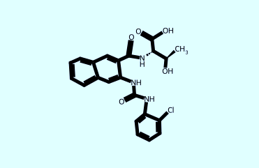 C[C@@H](O)[C@H](NC(=O)c1cc2ccccc2cc1NC(=O)Nc1ccccc1Cl)C(=O)O